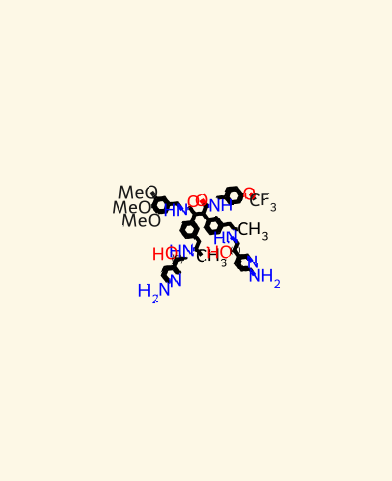 COc1cc(CNC(=O)C(c2cccc(CC(C)NC[C@@H](O)c3ccc(N)nc3)c2)C(C(=O)NCc2ccc(OC(F)(F)F)cc2)c2cccc(CC(C)NC[C@@H](O)c3ccc(N)nc3)c2)cc(OC)c1OC